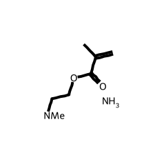 C=C(C)C(=O)OCCNC.N